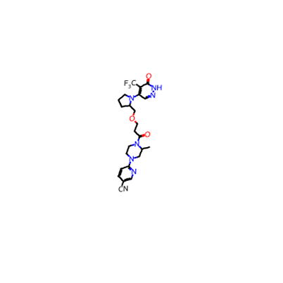 CC1CN(c2ccc(C#N)cn2)CCN1C(=O)CCOCC1CCCN1c1cn[nH]c(=O)c1C(F)(F)F